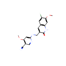 COc1cc2[nH]c(=O)c(CNc3cc(OC)c(C#N)cn3)cc2cc1Cl